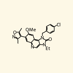 CCn1c(=O)n(Cc2ccc(Cl)cc2)c2c3cc(OC)c(-c4c(C)noc4C)cc3ncc21